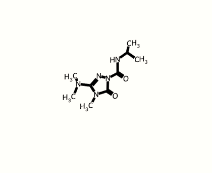 CC(C)NC(=O)n1nc(N(C)C)n(C)c1=O